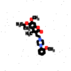 COc1cc2oc(=O)c(CCN3CCN(c4ccccc4OC)CC3)c(C)c2cc1OC(C)C